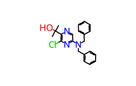 CC(C)(O)c1ncc(N(Cc2ccccc2)Cc2ccccc2)nc1Cl